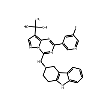 CC(O)(O)c1cnn2c(N[C@@H]3CCc4[nH]c5ccccc5c4C3)nc(-c3cncc(F)c3)nc12